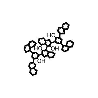 Oc1c(-c2ccc3ccccc3c2)cc(-c2cccc3ccccc23)cc1-c1cc2ccccc2c(-c2c(O)c(-c3cc(-c4cccc5ccccc45)cc(-c4ccc5ccccc5c4)c3O)cc3ccccc23)c1O